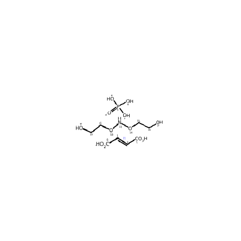 O=C(O)/C=C/C(=O)O.O=P(O)(O)O.OCCONOCCO